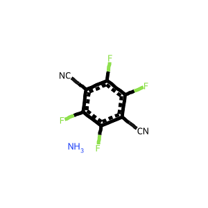 N.N#Cc1c(F)c(F)c(C#N)c(F)c1F